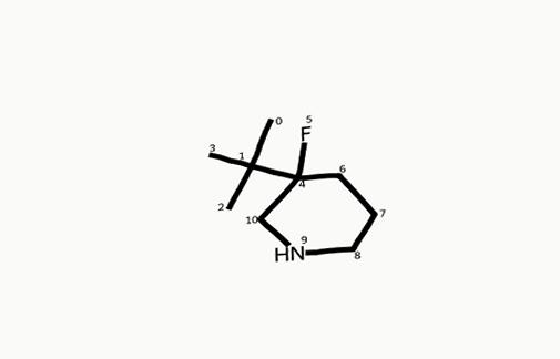 CC(C)(C)C1(F)CCCNC1